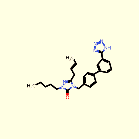 CC=CCc1nn(CCCCC)c(=O)n1Cc1ccc(-c2cccc(-c3nnn[nH]3)c2)cc1